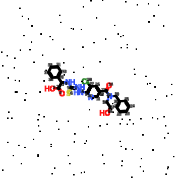 O=C(O)C(NC(=S)NNc1ncc(C(=O)N(CCO)Cc2ccccc2)cc1Cl)c1ccccc1